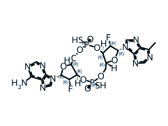 Cc1ncnc2c1ncn2[C@@H]1O[C@@H]2CO[P@@](=O)(S)O[C@H]3[C@@H](F)[C@H](n4cnc5c(N)ncnc54)O[C@@H]3CO[P@@](=O)(S)O[C@H]2[C@H]1F